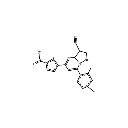 Cc1ccc(C2=CC(c3ccc([N+](=O)[O-])s3)=NC3C(C#N)CNN23)c(C)c1